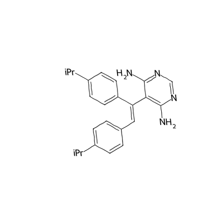 CC(C)c1ccc(C=C(c2ccc(C(C)C)cc2)c2c(N)ncnc2N)cc1